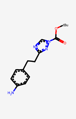 CC(C)(C)OC(=O)n1cnc(CCc2ccc(N)cc2)n1